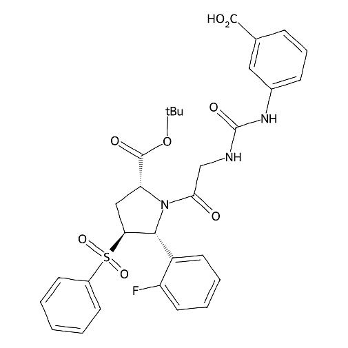 CC(C)(C)OC(=O)[C@H]1C[C@H](S(=O)(=O)c2ccccc2)[C@@H](c2ccccc2F)N1C(=O)CNC(=O)Nc1cccc(C(=O)O)c1